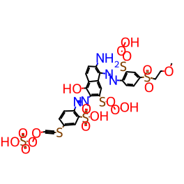 COCCS(=O)(=O)c1ccc(N=Nc2c(N)ccc3c(O)c(N=Nc4ccc(SC#COOS(=O)(=O)O)cc4S(=O)(=O)O)c(SOOO)cc23)c(SOOO)c1